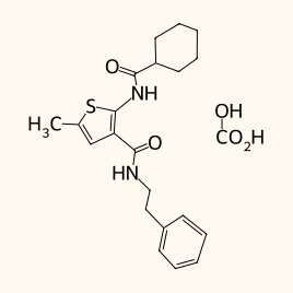 Cc1cc(C(=O)NCCc2ccccc2)c(NC(=O)C2CCCCC2)s1.O=C(O)O